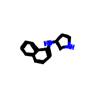 c1ccc2c(NC3CCNC3)cccc2c1